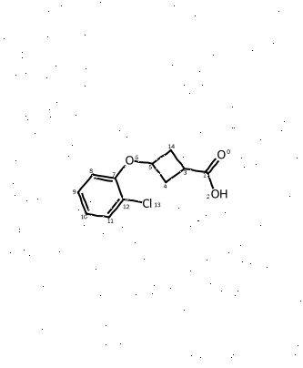 O=C(O)C1CC(Oc2ccccc2Cl)C1